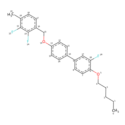 CCCCCOc1ccc(-c2ccc(OCc3ccc(C)c(F)c3F)cc2)cc1F